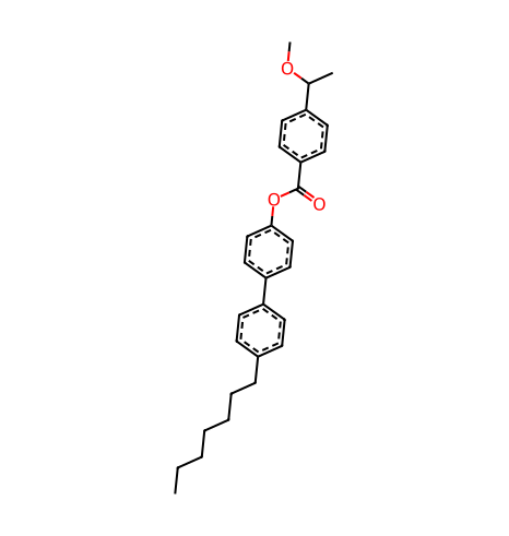 CCCCCCCc1ccc(-c2ccc(OC(=O)c3ccc(C(C)OC)cc3)cc2)cc1